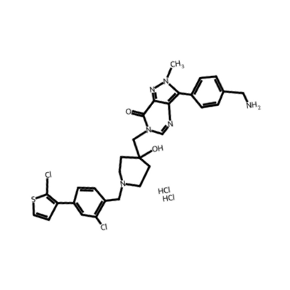 Cl.Cl.Cn1nc2c(=O)n(CC3(O)CCN(Cc4ccc(-c5ccsc5Cl)cc4Cl)CC3)cnc2c1-c1ccc(CN)cc1